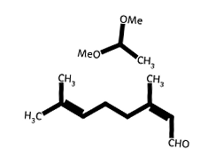 CC(C)=CCC/C(C)=C\C=O.COC(C)OC